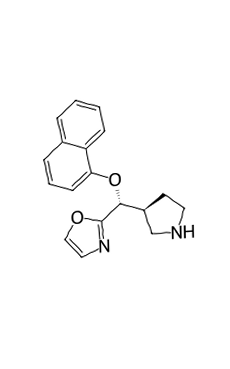 c1ccc2c(O[C@@H](c3ncco3)[C@H]3CCNC3)cccc2c1